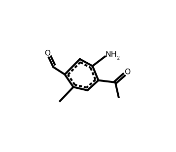 CC(=O)c1cc(C)c(C=O)cc1N